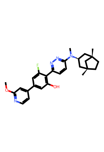 COc1cc(-c2cc(O)c(-c3ccc(N(C)[C@H]4C[C@]5(C)CC[C@](C)(C4)C5)nn3)c(F)c2)ccn1